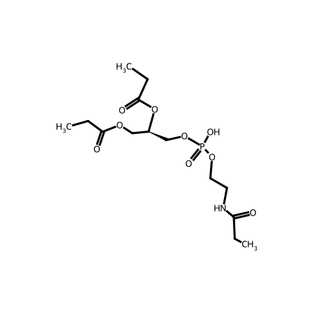 CCC(=O)NCCOP(=O)(O)OC[C@@H](COC(=O)CC)OC(=O)CC